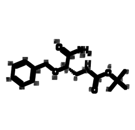 CC(C)(C)OC(=O)NC[C@H](OCc1ccccc1)C(N)=O